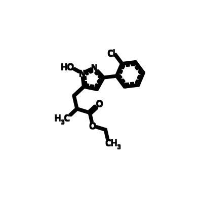 CCOC(=O)C(C)Cc1cc(-c2ccccc2Cl)nn1O